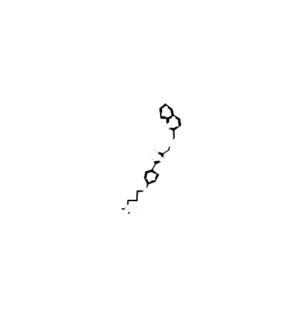 CN(C)CCCOc1ccc(-c2nnc(CSCc3ccc4ccccc4n3)o2)cc1.Cl